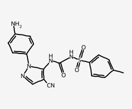 Cc1ccc(S(=O)(=O)NC(=O)Nc2c(C#N)cnn2-c2ccc(N)cc2)cc1